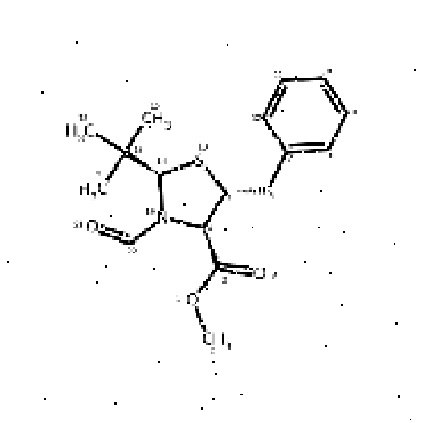 COC(=O)[C@@H]1[C@@H](Cc2ccccc2)S[C@H](C(C)(C)C)N1C=O